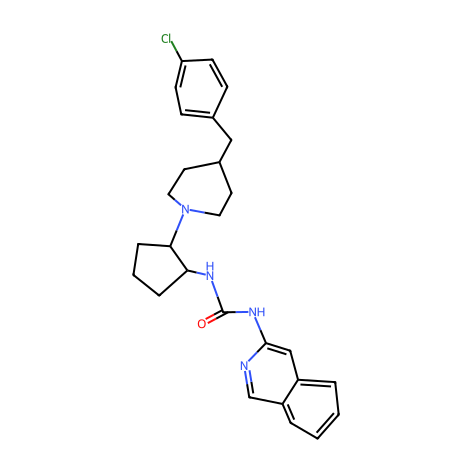 O=C(Nc1cc2ccccc2cn1)NC1CCCC1N1CCC(Cc2ccc(Cl)cc2)CC1